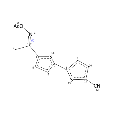 CC(=O)O/N=C(\C)c1ccc(-c2ccc(C#N)s2)s1